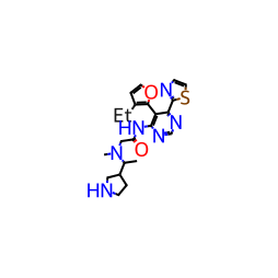 CCc1ccoc1-c1c(NC(=O)CN(C)C(C)C2CCNC2)ncnc1-c1nccs1